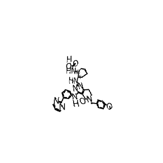 COc1ccc(CN2CCc3nc(N[C@@H]4CCCC[C@@H]4NC(=O)O)nc(Nc4cccc(-c5ncccn5)c4)c3C2=O)cc1